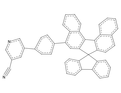 N#Cc1cncc(-c2ccc(-c3cc4c(c5ccccc35)-c3c(ccc5ccccc35)C43c4ccccc4-c4ccccc43)cc2)c1